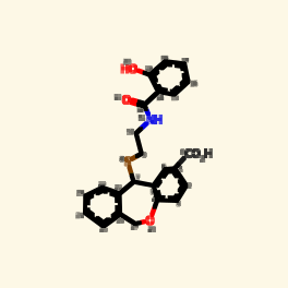 O=C(O)c1ccc2c(c1)C(SCCNC(=O)c1ccccc1O)c1ccccc1CO2